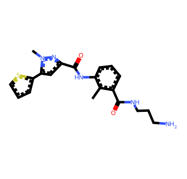 Cc1c(NC(=O)c2cc(-c3cccs3)n(C)n2)cccc1C(=O)NCCCN